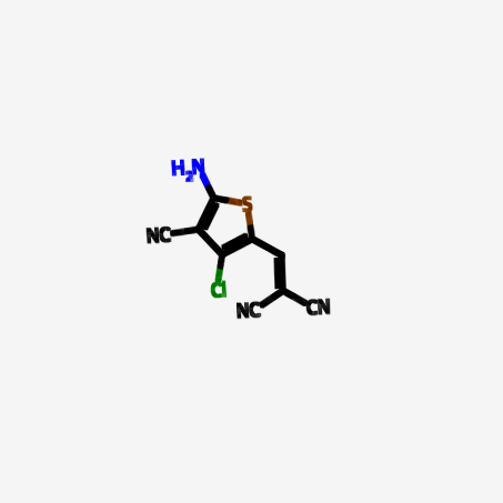 N#CC(C#N)=Cc1sc(N)c(C#N)c1Cl